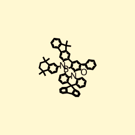 CC1(C)CCC(C)(C)c2cc(N3B4c5cccc6c5N(c5ccccc5C65c6ccccc6-c6ccccc65)c5c4c(cc4c5oc5ccccc54)-c4cc5c(cc43)-c3ccccc3C5(C)C)ccc21